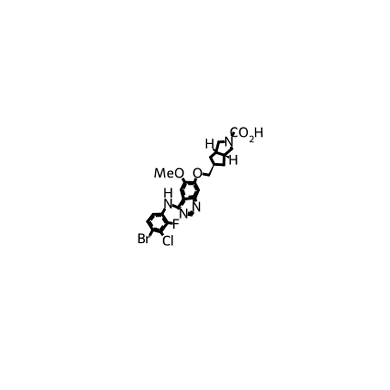 COc1cc2c(Nc3ccc(Br)c(Cl)c3F)ncnc2cc1OC[C@H]1C[C@@H]2CN(C(=O)O)C[C@@H]2C1